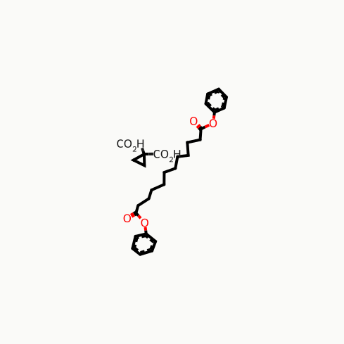 O=C(CCCCCCCCCCC(=O)Oc1ccccc1)Oc1ccccc1.O=C(O)C1(C(=O)O)CC1